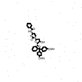 COc1ccc(C(OC[C@H]2O[C@@H](n3ccc(NC(=O)c4ccccc4)nc3=O)CC2O)(c2ccccc2)c2ccc(OC)cc2)cc1